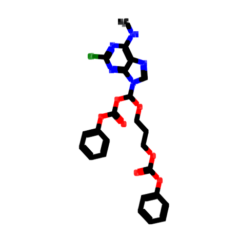 CNc1nc(Cl)nc2c1ncn2C(OCCCOC(=O)Oc1ccccc1)OC(=O)Oc1ccccc1